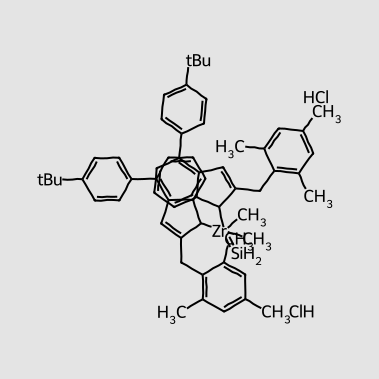 Cc1cc(C)c(CC2=Cc3c(-c4ccc(C(C)(C)C)cc4)cccc3[CH]2[Zr]([CH3])([CH3])(=[SiH2])[CH]2C(Cc3c(C)cc(C)cc3C)=Cc3c(-c4ccc(C(C)(C)C)cc4)cccc32)c(C)c1.Cl.Cl